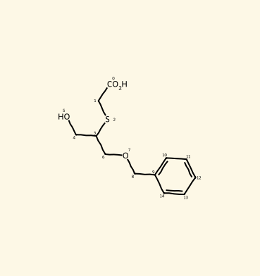 O=C(O)CSC(CO)COCc1ccccc1